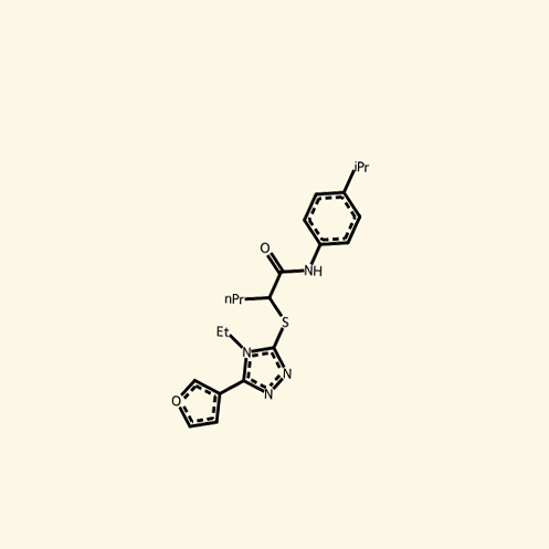 CCCC(Sc1nnc(-c2ccoc2)n1CC)C(=O)Nc1ccc(C(C)C)cc1